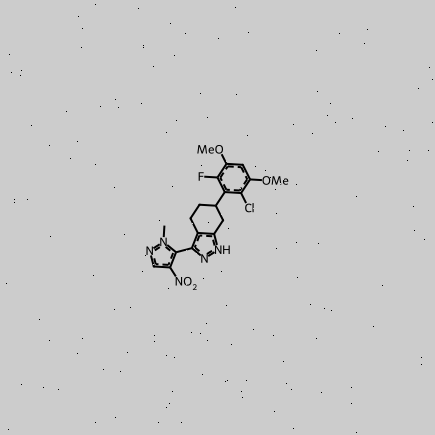 COc1cc(OC)c(Cl)c(C2CCc3c(-c4c([N+](=O)[O-])cnn4C)n[nH]c3C2)c1F